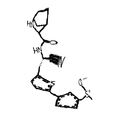 C[S+]([O-])c1cccc(-c2ccc(C[C@@H](C#N)NC(=O)C3NC4CCC3C4)s2)c1